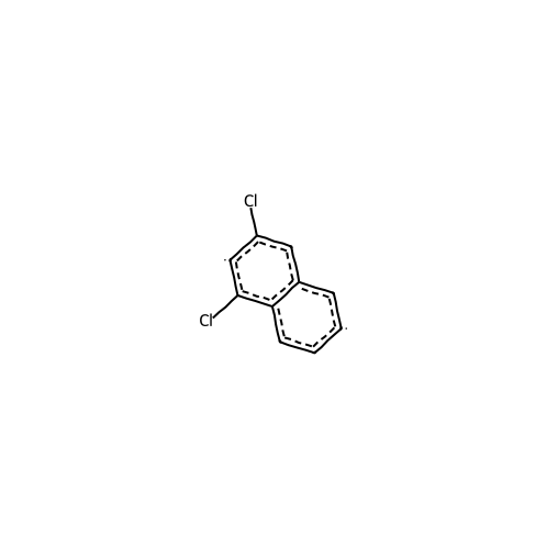 Clc1[c]c(Cl)c2cc[c]cc2c1